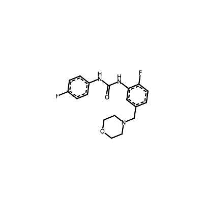 O=C(Nc1ccc(F)cc1)Nc1cc(CN2CCOCC2)ccc1F